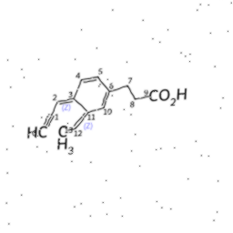 C#C/C=c1/ccc(CCC(=O)O)c/c1=C/C